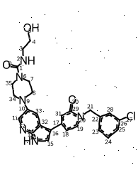 O=C(NCCO)N1CCN(c2cnc3[nH]cc(-c4ccn(Cc5cccc(Cl)c5)c(=O)c4)c3c2)CC1